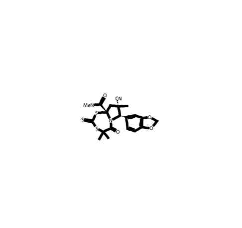 CNC(=O)[C@@]12C[C@](C)(C#N)[C@H](c3ccc4c(c3)OCO4)N1C(=O)C(C)(C)SC(=S)S2